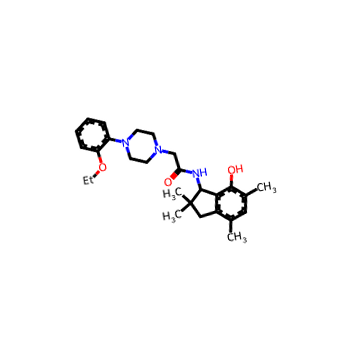 CCOc1ccccc1N1CCN(CC(=O)NC2c3c(O)c(C)cc(C)c3CC2(C)C)CC1